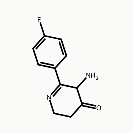 NC1C(=O)CCN=C1c1ccc(F)cc1